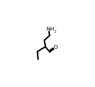 CCC(C=O)CCN